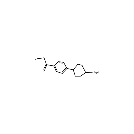 CCCCCCCC1CCC(c2ccc(C(=O)CCl)cc2)CC1